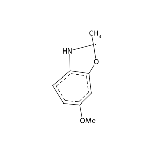 COc1ccc2c(c1)O[C](C)N2